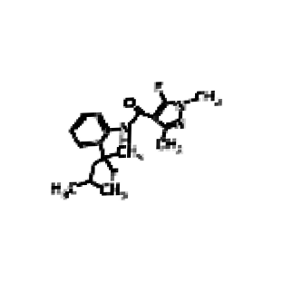 Cc1nn(C)c(F)c1C(=O)Nc1ccccc1C(C)(F)CC(C)C